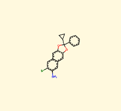 Nc1cc2cc3c(cc2cc1Br)OC(c1ccccc1)(C1CC1)O3